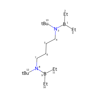 CCB(CC)N(CCCCN(B(CC)CC)C(C)(C)C)C(C)(C)C